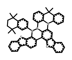 CC1(C)CCC(C)(C)c2cc(N3B4c5cccc6c5N(c5ccccc5C6(C)C)c5cc6c(oc7ccccc76)c(c54)-c4ccc5c(sc6ccccc65)c43)ccc21